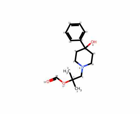 CC(C)(CN1CCC(O)(c2ccccc2)CC1)O[C]=O